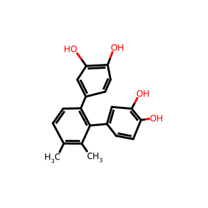 Cc1ccc(-c2ccc(O)c(O)c2)c(-c2ccc(O)c(O)c2)c1C